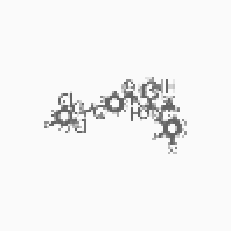 Cc1cc(Cl)c(OCCOc2ccc(C(=O)N[C@H]3CCNCC3C(=O)N(Cc3cccc(C)c3C)C3CC3)cc2)c(Cl)c1